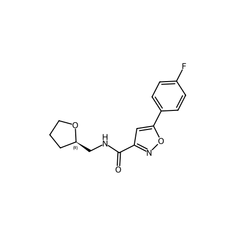 O=C(NC[C@H]1CCCO1)c1cc(-c2ccc(F)cc2)on1